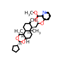 C=C1CCC2[C@]3(C)CO[C@@H](C4CCCC4)O[C@@H]3CC[C@@]2(C)[C@@H]1CCOc1cccnc1C(=O)OC